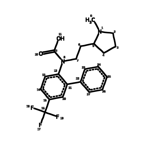 CN1CCCC1CCN(C(=O)O)c1ccc(C(F)(F)F)cc1-c1ccccc1